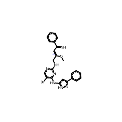 CO/C(=C\C(=N)c1ccccc1)CNc1ncc(Br)c(Nc2cc(-c3ccccc3)n[nH]2)n1